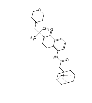 CC(C)(CN1CCOCC1)N1CCc2c(NC(=O)CC34CC5CC(CC(C5)C3)C4)cccc2C1=O